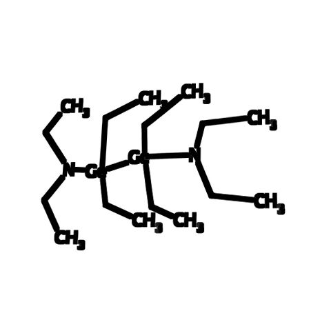 CC[N](CC)[Ge]([CH2]C)([CH2]C)[Ge]([CH2]C)([CH2]C)[N](CC)CC